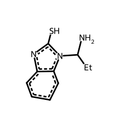 CCC(N)n1c(S)nc2ccccc21